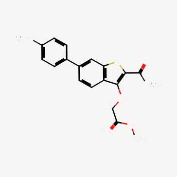 COC(=O)c1sc2cc(-c3ccc(OC)cc3)ccc2c1OCC(=O)OC(C)(C)C